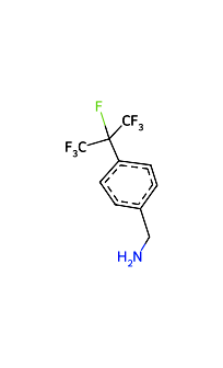 NCc1ccc(C(F)(C(F)(F)F)C(F)(F)F)cc1